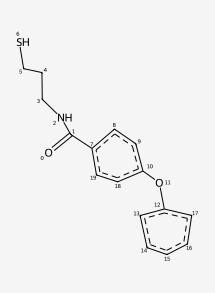 O=C(NCCCS)c1ccc(Oc2ccccc2)cc1